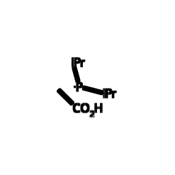 CC(=O)O.CC(C)[P]C(C)C